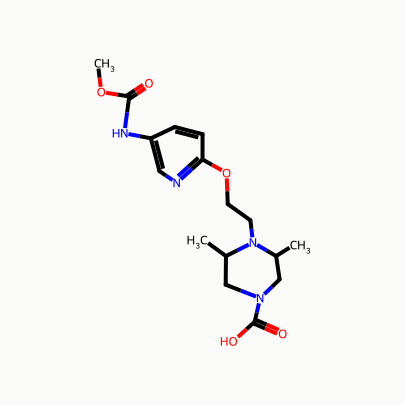 COC(=O)Nc1ccc(OCCN2C(C)CN(C(=O)O)CC2C)nc1